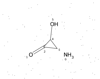 N.O=C1CC1O